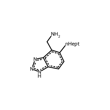 CCCCCCCc1ccc2[nH]nnc2c1CN